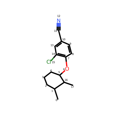 CC1CCCC(Oc2ccc(C#N)cc2Cl)C1C